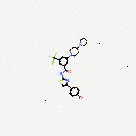 O=C(Nc1nc(-c2ccc(Br)cc2)cs1)c1cc(N2CCC(N3CCCC3)CC2)cc(C(F)(F)F)c1